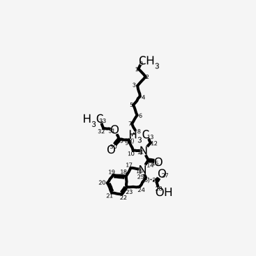 CCCCCCCCC[C@H](CN(CC)C(=O)N1Cc2ccccc2C[C@H]1C(=O)O)C(=O)OCC